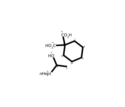 CCCCCCCC(C)O.O=C(O)C1(C(=O)O)CCCCC1